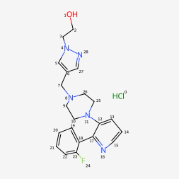 Cl.OCCn1cc(CN2CCN(c3cccnc3-c3ccccc3F)CC2)cn1